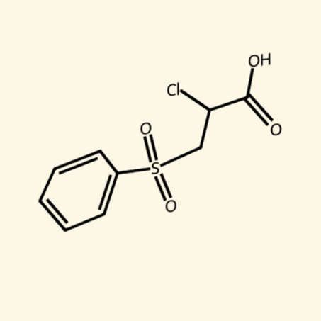 O=C(O)C(Cl)CS(=O)(=O)c1ccccc1